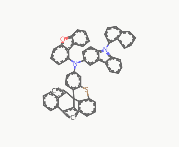 c1ccc2c(c1)Sc1cc(N(c3ccc4c(c3)c3ccccc3n4-c3cccc4ccccc34)c3cccc4oc5ccccc5c34)ccc1C21c2ccccc2-c2cccc3cccc1c23